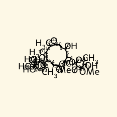 COC1C(OCC2CC(O)/C=C/C(=O)C(C)CC(C)C(OC3OC(C)CC(O)(C(C)O)C3O)C(C)/C=C/C(=O)OC2C)OC(C)C(O)C1OC